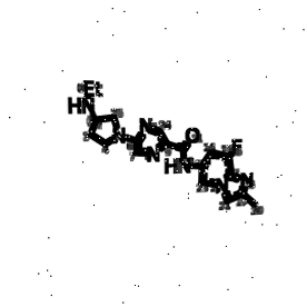 CCN[C@@H]1CCN(c2cnc(C(=O)Nc3cc(F)c4nc(C)cn4c3)cn2)C1